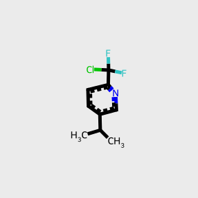 CC(C)c1ccc(C(F)(F)Cl)nc1